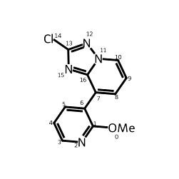 COc1ncccc1-c1cccn2nc(Cl)nc12